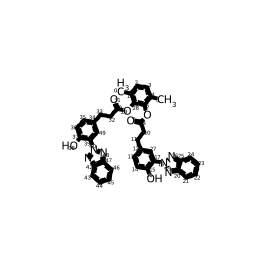 Cc1ccc(C)c(OC(=O)CCc2ccc(O)c(-n3nc4ccccc4n3)c2)c1OC(=O)CCc1ccc(O)c(-n2nc3ccccc3n2)c1